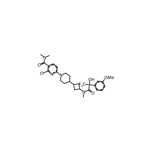 COc1cccc([C@@](O)(C(=O)N(C)C2CC(C3CCN(c4ccc(C(=O)N(C)C)c(Cl)n4)CC3)C2)C(F)(F)F)c1